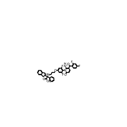 Nc1c(C(=O)c2ccc(F)cc2F)ccc(=O)n1-c1c(F)cc(OCCCN[C@@](C(=O)O)(c2ccccc2)C2Cc3ccccc3C2)cc1F